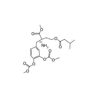 COC(=O)Oc1ccc(C[C@](N)(CCOC(=O)CC(C)C)C(=O)OC)cc1OC(=O)OC